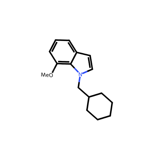 COc1cccc2ccn(CC3CCCCC3)c12